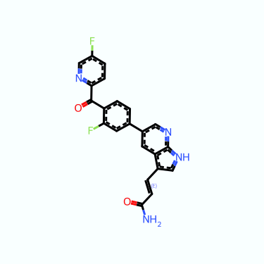 NC(=O)/C=C/c1c[nH]c2ncc(-c3ccc(C(=O)c4ccc(F)cn4)c(F)c3)cc12